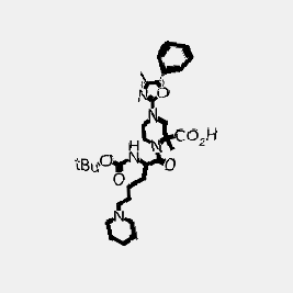 C[C@@H]1N=C(N2CCN(C(=O)C(CCCCN3CCCCC3)NC(=O)OC(C)(C)C)C(C)(C(=O)O)C2)O[C@H]1c1ccccc1